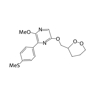 COc1ncc(OCC2CCCOO2)nc1-c1ccc(SC)cc1